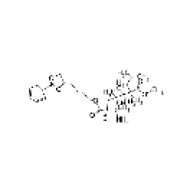 COC(=O)C(C)(CC(C)C)C(C)(C)C(C)(C)CC(C)(C(=O)OCCCCC1COB(c2ccccc2)O1)C(C)N